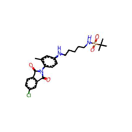 Cc1cc(NCCCCCNS(=O)(=O)C(C)(C)C)ccc1N1C(=O)c2ccc(Cl)cc2C1=O